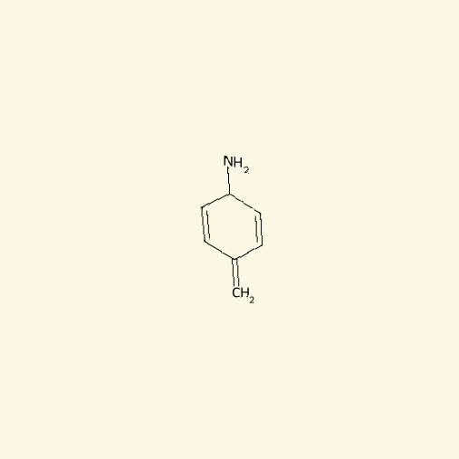 C=C1C=CC(N)C=C1